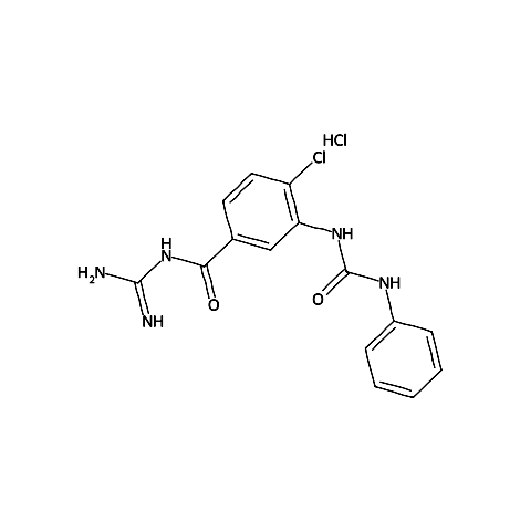 Cl.N=C(N)NC(=O)c1ccc(Cl)c(NC(=O)Nc2ccccc2)c1